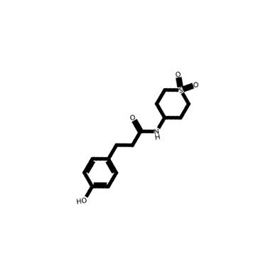 O=C(CCc1ccc(O)cc1)NC1CCS(=O)(=O)CC1